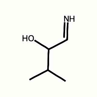 CC(C)C(O)C=N